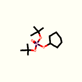 CC(C)(C)OP(=O)(OC1CCCCC1)OC(C)(C)C